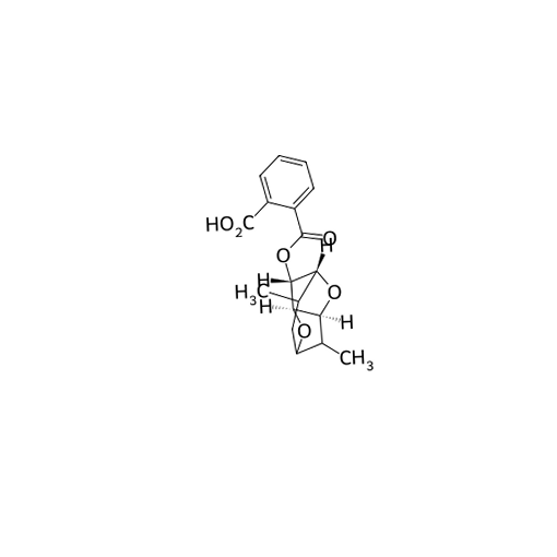 CC1CC2O[C@H]3[C@H](OC(=O)c4ccccc4C(=O)O)[C@@H]1O[C@H]3C2C